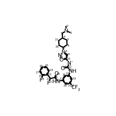 CN(C)CC1CCC([n+]2cc([N-]C(=O)Nc3cc(NC(=O)C(F)c4ccccc4F)cc(C(F)(F)F)c3)on2)CC1